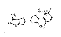 CN1C[C@H](N2Cc3n[nH]c(N)c3C2)C[C@H](NC(=O)O)[C@@H]1c1cc(F)ccc1F